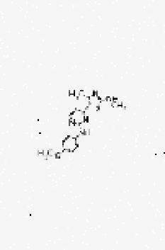 CNc1nc(C)c(-c2ccnc(Nc3ccc(OC)cc3)n2)s1